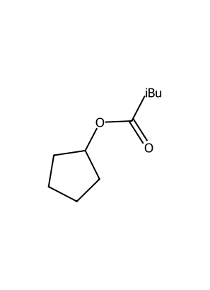 CCC(C)C(=O)OC1CCCC1